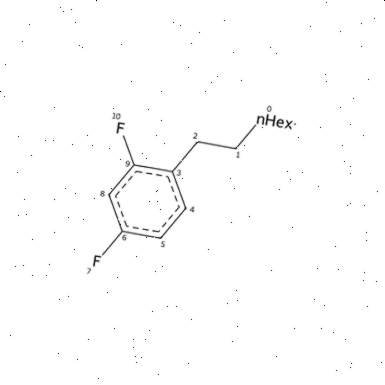 CCCCC[CH]CCc1ccc(F)cc1F